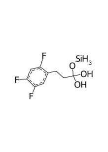 OC(O)(CCc1cc(F)c(F)cc1F)O[SiH3]